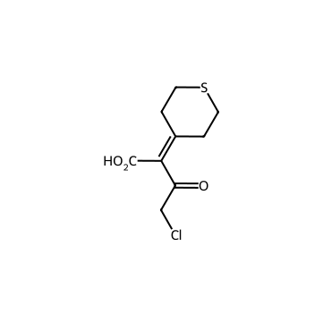 O=C(O)C(C(=O)CCl)=C1CCSCC1